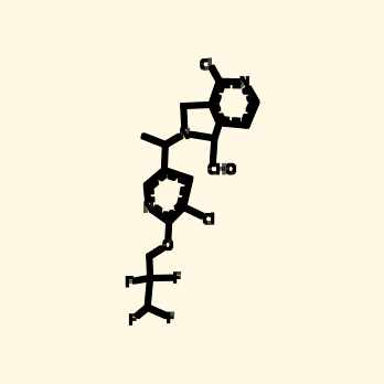 CC(c1cnc(OCC(F)(F)C(F)F)c(Cl)c1)N1Cc2c(ccnc2Cl)C1C=O